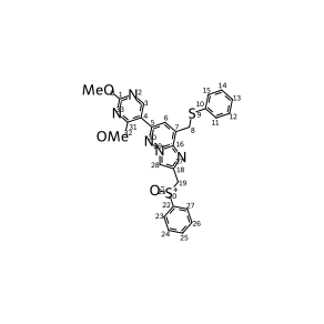 COc1ncc(-c2cc(CSc3ccccc3)c3nc(C[S+]([O-])c4ccccc4)cn3n2)c(OC)n1